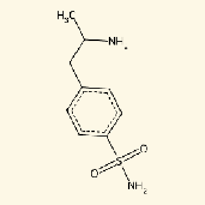 CC(N)Cc1ccc(S(N)(=O)=O)cc1